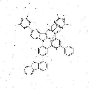 Cc1nc(C)nc(-c2ccc3c(c2)c2cc(-c4nc(C)nc(C)n4)ccc2n3-c2ccc(-c3cccc4c3sc3ccccc34)cc2-c2nc(-c3ccccc3)nc(-c3ccccc3)n2)n1